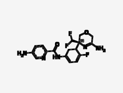 NC1=N[C@](C(F)F)(C2CC(NC(=O)c3ccc(N)cn3)=CC=C2F)COC1